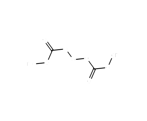 O=C(OOOC(=O)OC(F)(F)F)OC(F)(F)F